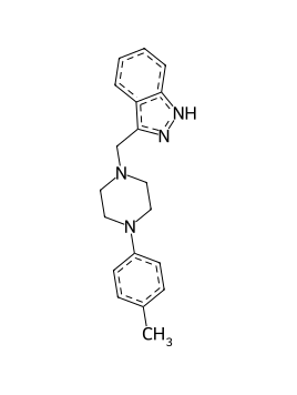 Cc1ccc(N2CCN(Cc3n[nH]c4ccccc34)CC2)cc1